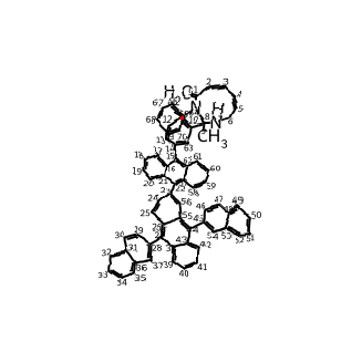 C=C1/C=C\C=C/CNC(C)(c2cccc(-c3c4ccccc4c(-c4ccc5c(-c6ccc7ccccc7c6)c6ccccc6c(-c6ccc7ccccc7c6)c5c4)c4ccccc34)c2)N1c1ccccc1